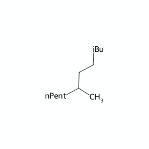 [CH2]C(CC)CCC(C)CCCCC